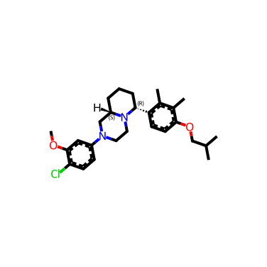 COc1cc(N2CCN3[C@@H](CCC[C@@H]3c3ccc(OCC(C)C)c(C)c3C)C2)ccc1Cl